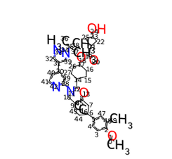 COc1ccc(C23CCC(CN(C(=O)C4CCC(OC(=O)C5CC(O)C5)CC4)c4cc(-c5cnn(C(C)(C)C)c5)ccn4)(CC2)CC3)cc1C